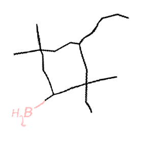 BC1C(C)(C)C(CC)C1(C)C